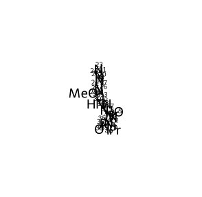 C=CCn1c(=O)c2cnc(Nc3ccc(N4CCN(N5CCN(C)CC5)CC4)c(OC)c3)nc2n1-c1ccc(=O)n(C(C)C)n1